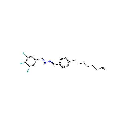 CCCCCCCc1ccc(C=NN=Cc2cc(F)c(F)c(F)c2)cc1